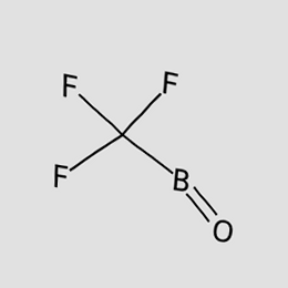 O=BC(F)(F)F